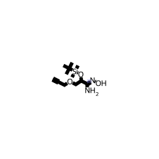 C#CCOCC(O[Si](C)(C)C(C)(C)C)/C(N)=N/O